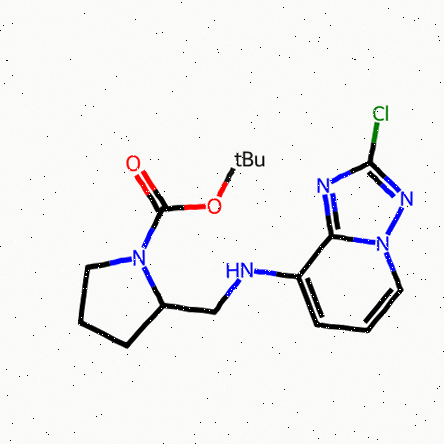 CC(C)(C)OC(=O)N1CCCC1CNc1cccn2nc(Cl)nc12